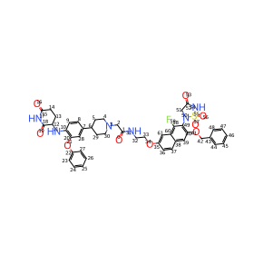 O=C(CN1CCC(c2ccc(NC3CCC(=O)NC3=O)c(Oc3ccccc3)c2)CC1)NCCOc1ccc2cc(OCc3ccccc3)c(N3CC(=O)NS3(=O)=O)c(F)c2c1